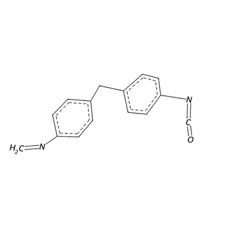 C=Nc1ccc(Cc2ccc(N=C=O)cc2)cc1